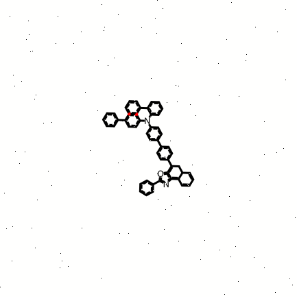 C1=CC2=c3nc(-c4ccccc4)oc3=C(c3ccc(-c4ccc(N(c5ccc(-c6ccccc6)cc5)c5ccccc5-c5ccccc5)cc4)cc3)CC2C=C1